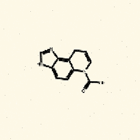 O=C(O)N1C=CCc2c1ccc1[nH]cnc21